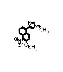 CCn1cnc(C2=CCCc3c2ccc(OC)c3[N+](=O)[O-])c1